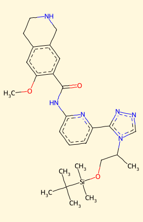 COc1cc2c(cc1C(=O)Nc1cccc(-c3nncn3C(C)CO[Si](C)(C)C(C)(C)C)n1)CNCC2